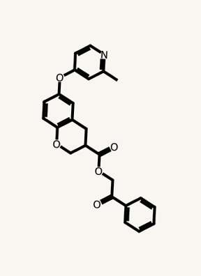 Cc1cc(Oc2ccc3c(c2)CC(C(=O)OCC(=O)c2ccccc2)CO3)ccn1